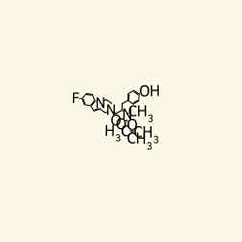 CN(C(=O)OC(C)(C)C)C(Cc1ccc(O)cc1)C(=O)N1CCn2c(cc3cc(F)ccc32)C1